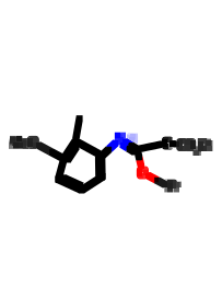 CCOC(=O)C/C(=N/c1cccc(OC)c1C)OC(C)C